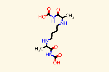 CC(NCCCCNC(C)C(=O)NC(=O)O)C(=O)NC(=O)O